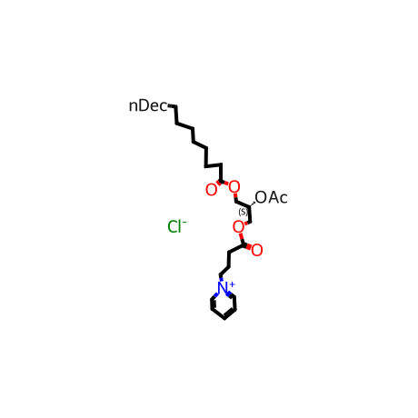 CCCCCCCCCCCCCCCCCC(=O)OC[C@@H](COC(=O)CCC[n+]1ccccc1)OC(C)=O.[Cl-]